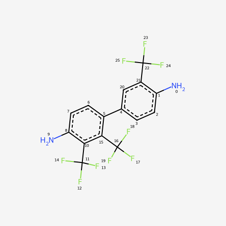 Nc1ccc(-c2ccc(N)c(C(F)(F)F)c2C(F)(F)F)cc1C(F)(F)F